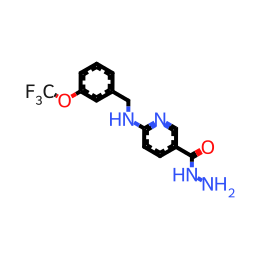 NNC(=O)c1ccc(NCc2cccc(OC(F)(F)F)c2)nc1